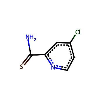 NC(=S)c1cc(Cl)[c]cn1